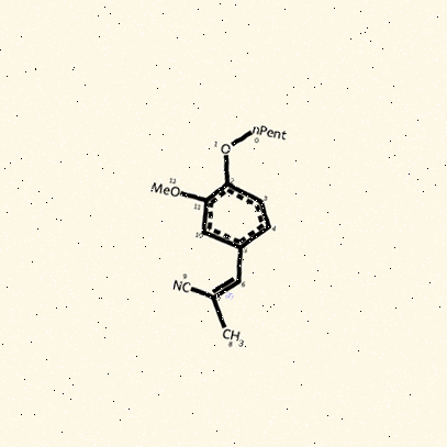 CCCCCOc1ccc(/C=C(/C)C#N)cc1OC